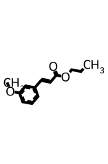 CCCOC(=O)C=Cc1cccc(OC)c1